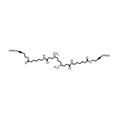 CCCCCCC#CCCOC(=O)CCCCCNC(=O)CCN(C)CCCN(C)CCC(=O)NCCCCCC(=O)OCCC#CCCCCCC